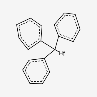 [Hf][C](c1ccccc1)(c1ccccc1)c1ccccc1